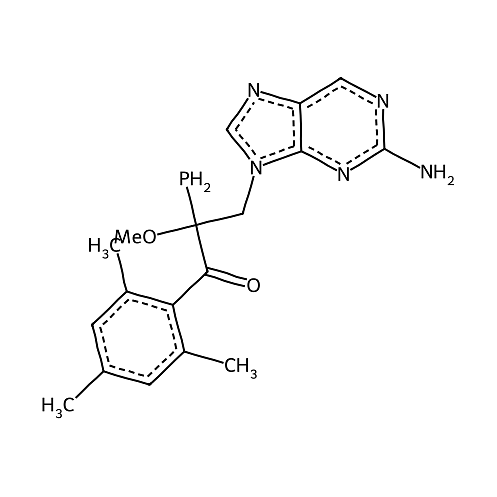 COC(P)(Cn1cnc2cnc(N)nc21)C(=O)c1c(C)cc(C)cc1C